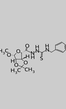 CO[C@@H]1O[C@H](C(=O)NNC(=S)NCc2ccccc2)[C@@H]2OC(C)(C)O[C@@H]12